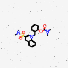 CN(C)C(=O)Oc1ccccc1CN1C=C(S(=O)(=O)N(C)C)Cc2ccccc21